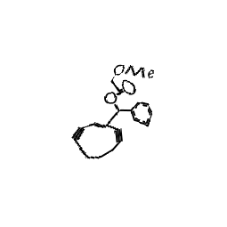 COCC(=O)OC(/C1=C/C#CCCCCC#C1)c1ccccc1